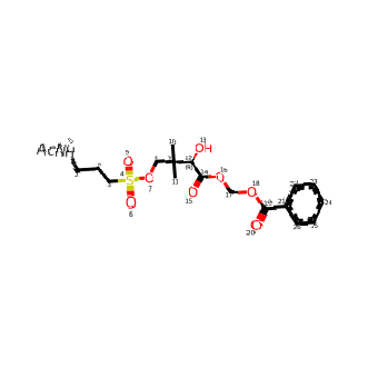 CC(=O)NCCCS(=O)(=O)OCC(C)(C)[C@@H](O)C(=O)OCOC(=O)c1ccccc1